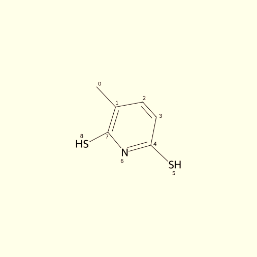 Cc1ccc(S)nc1S